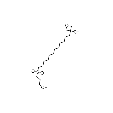 CC1(CCCCCCCCCCCCS(=O)(=O)CCCO)COC1